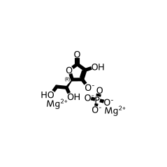 O=C1O[C@H](C(O)CO)C([O-])=C1O.O=P([O-])([O-])[O-].[Mg+2].[Mg+2]